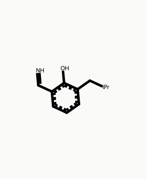 CC(C)Cc1cccc(C=N)c1O